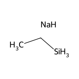 CC[SiH3].[NaH]